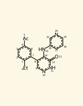 CCc1ccc(C(C)=O)cc1-c1cn[nH]c(=O)c1Nc1cccnc1